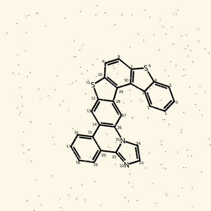 c1ccc2c(c1)sc1ccc3sc4cc5c6ccccc6c6nccn6c5cc4c3c12